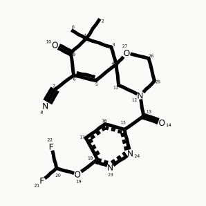 CC1(C)CC2(C=C(C#N)C1=O)CN(C(=O)c1ccc(OC(F)F)nn1)CCO2